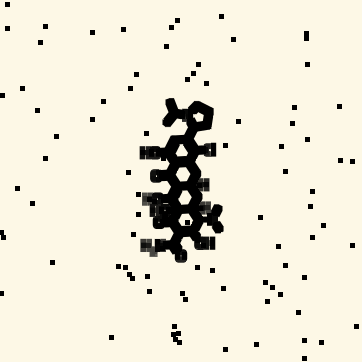 CC(C)N1CCCC1c1cc(O)c2c(c1Cl)C[C@H]1C[C@H]3[C@H](N(C)C)C(O)=C(C(N)=O)C(=O)[C@@]3(O)C(O)=C1C2=O